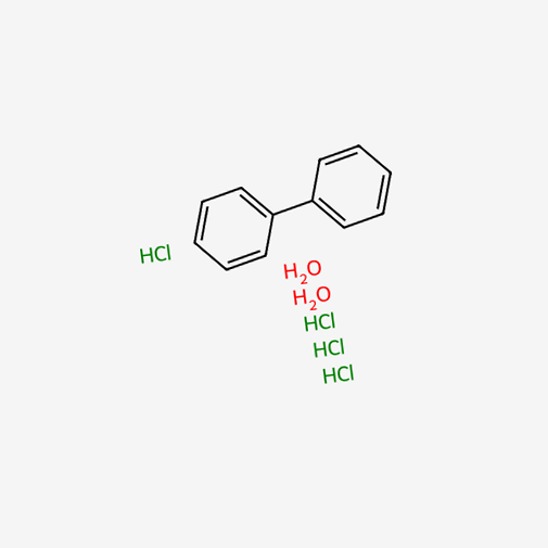 Cl.Cl.Cl.Cl.O.O.c1ccc(-c2ccccc2)cc1